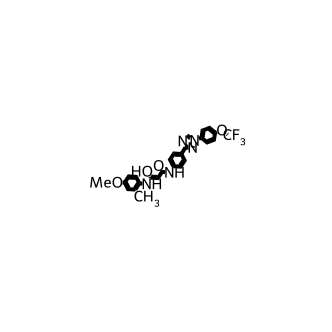 COc1ccc(N/C(O)=C/C(=O)Nc2ccc(-c3ncn(-c4ccc(OC(F)(F)F)cc4)n3)cc2)c(C)c1